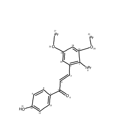 CCCc1c(/C=C/C(=O)c2ccc(O)cc2)cc(OC(C)C)cc1OC(C)C